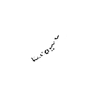 O=C(O)CCC(=O)OCCCC1OCCN(c2ccc(N3C[C@H](CNC(=O)c4ccc(Cl)s4)OC3=O)cc2)C1=O